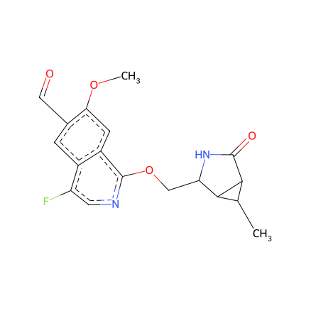 COc1cc2c(OCC3NC(=O)C4C(C)C34)ncc(F)c2cc1C=O